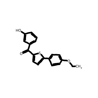 CCOc1ccc(-c2ccc(C(=O)c3cccc(O)c3)s2)cc1